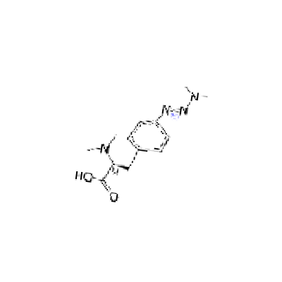 CN(C)/N=N/c1ccc(C[C@@H](C(=O)O)N(C)C)cc1